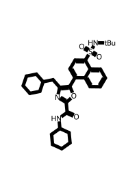 CC(C)(C)NS(=O)(=O)c1ccc(-c2oc(C(=O)NC3CCCCC3)nc2CC2CCCCC2)c2ccccc12